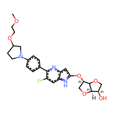 COCCOC1CCN(c2ccc(-c3nc4cc(O[C@@H]5CO[C@H]6C5OC[C@H]6O)[nH]c4cc3F)cc2)C1